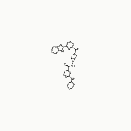 O=C(NC1C2CN(C(=O)c3cccc(-c4nc5ccccc5[nH]4)n3)CC21)c1ccnc(Nc2ccccn2)n1